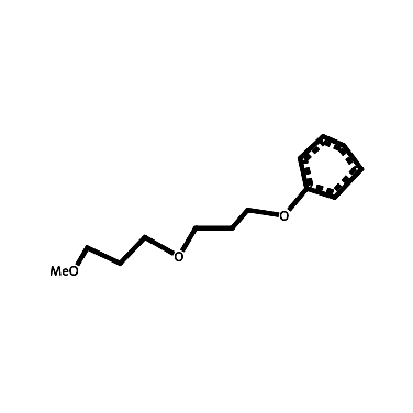 COCCCOCCCOc1ccccc1